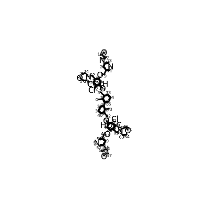 Cc1c(COc2cc(OCc3cncc(N=S(C)(C)=O)c3)c(CN3CCOC[C@H]3C(=O)O)cc2Cl)cccc1-c1cccc(COc2cc(OCc3cncc(N=S(C)(C)=O)c3)c(CN3CCOC[C@H]3C(=O)O)cc2Cl)c1C